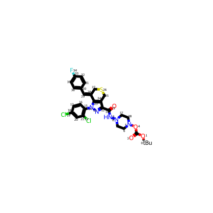 CC(C)(C)OC(=O)ON1CCN(NC(=O)c2nn(-c3ccc(Cl)cc3Cl)c3c2CSC/C3=C\c2ccc(F)cc2)CC1